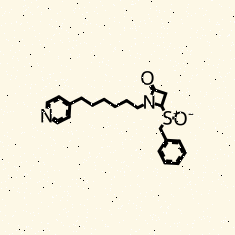 O=C1CC([S+]([O-])Cc2ccccc2)N1CCCCCCc1ccncc1